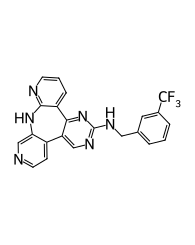 FC(F)(F)c1cccc(CNc2ncc3c(n2)-c2cccnc2Nc2cnccc2-3)c1